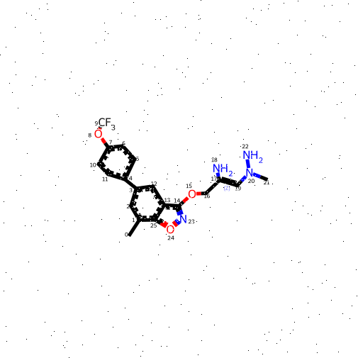 Cc1cc(-c2ccc(OC(F)(F)F)cc2)cc2c(OC/C(N)=C/N(C)N)noc12